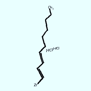 CCCCCCC=CC=[CH][Zr].Cl.Cl